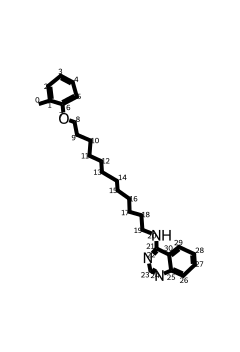 Cc1ccccc1OCCCCCCCCCCCCNc1ncnc2ccccc12